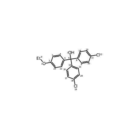 CCOc1ccc(C(O)(c2ccc(Cl)cc2)c2ccc(Cl)cc2)cc1